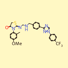 COc1ccc(N2C(=O)CS/C2=N\CNCc2ccc(-c3ncn(-c4ccc(C(F)(F)F)cc4)n3)cc2)c(C)c1